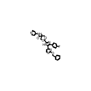 CC1(C(=O)Nc2ccncc2)COC(c2nc(-c3ccc(F)cc3)c(-c3ccnc(OCc4ccccc4)n3)[nH]2)OC1